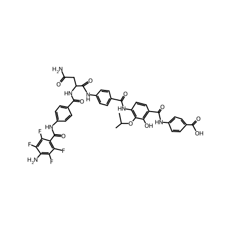 CC(C)Oc1c(NC(=O)c2ccc(NC(=O)C(CC(N)=O)NC(=O)c3ccc(NC(=O)c4c(F)c(F)c(N)c(F)c4F)cc3)cc2)ccc(C(=O)Nc2ccc(C(=O)O)cc2)c1O